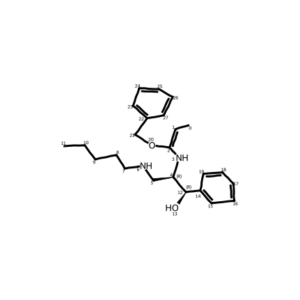 CC=C(N[C@H](CNCCCCC)[C@H](O)c1ccccc1)OCc1ccccc1